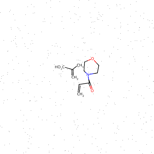 C=C(C)C(=O)O.C=CC(=O)N1CCOCC1